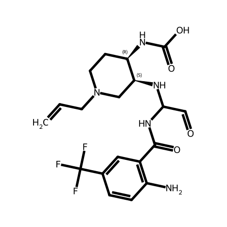 C=CCN1CC[C@@H](NC(=O)O)[C@@H](NC(C=O)NC(=O)c2cc(C(F)(F)F)ccc2N)C1